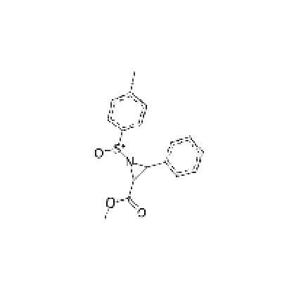 COC(=O)C1C(c2ccccc2)N1[S+]([O-])c1ccc(C)cc1